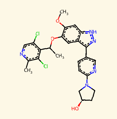 COc1cc2[nH]nc(-c3ccc(N4CC[C@@H](O)C4)nc3)c2cc1OC(C)c1c(Cl)cnc(C)c1Cl